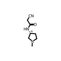 CN1CC[C@@H](NC(=O)CC#N)C1